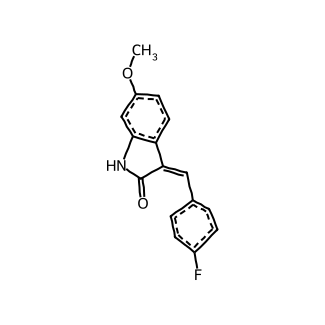 COc1ccc2c(c1)NC(=O)C2=Cc1ccc(F)cc1